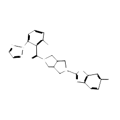 O=C(c1c(F)cccc1-n1nccn1)N1CC2CN(c3nc4ccc(F)cc4o3)CC2C1